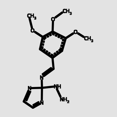 COc1cc(C=NC2(NN)N=CC=N2)cc(OC)c1OC